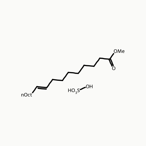 CCCCCCCCC=CCCCCCCCC(=O)OC.O=S(=O)(O)O